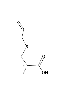 C=CCSC[C@@H](C)C(=O)O